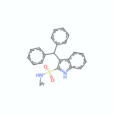 CC(C)NS(=O)(=O)c1[nH]c2ccccc2c1C(c1ccccc1)c1ccccc1